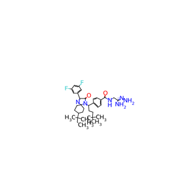 CCC(C)(C)C1CCC2(CC1)N=C(c1cc(F)cc(F)c1)C(=O)N2C(CCC(C)(C)C)c1ccc(C(=O)NC/C(N)=N/N)cc1